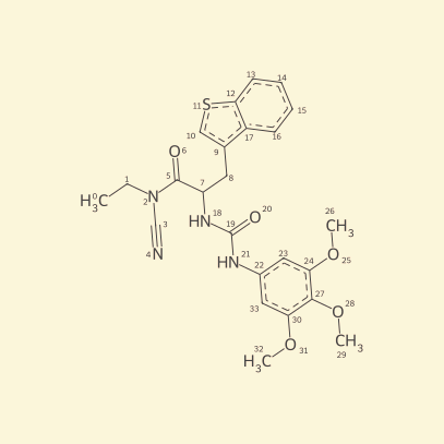 CCN(C#N)C(=O)C(Cc1csc2ccccc12)NC(=O)Nc1cc(OC)c(OC)c(OC)c1